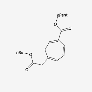 CCCCCOC(=O)C1=CCC(CC(=O)OCCCC)=CC=C1